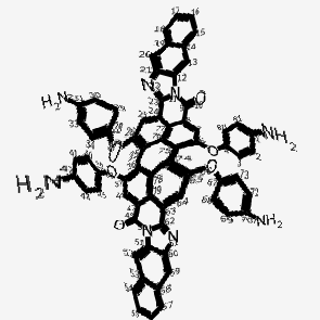 Nc1ccc(Oc2cc3c(=O)n4c5cc6ccccc6cc5nc4c4cc(Oc5ccc(N)cc5)c5c6c(Oc7ccc(N)cc7)cc7c(=O)n8c9cc%10ccccc%10cc9nc8c8cc(Oc9ccc(N)cc9)c(c2c5c34)c6c78)cc1